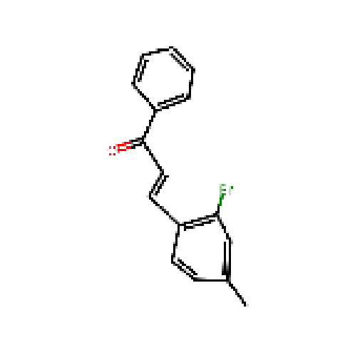 Cc1ccc(C=CC(=O)c2ccccc2)c(Br)c1